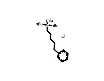 CCCC[N+](CCCC)(CCCC)CCCCCc1ccccc1.[Cl-]